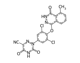 Cc1cccc2c(Oc3c(Cl)cc(-n4nc(C#N)c(=O)[nH]c4=O)cc3Cl)n[nH]c(=O)c12